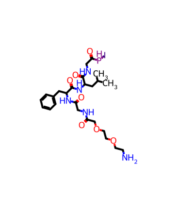 CC(C)CC(NC(=O)C(Cc1ccccc1)NC(=O)CNC(=O)COCCOCCN)C(=O)NCC(=O)PI